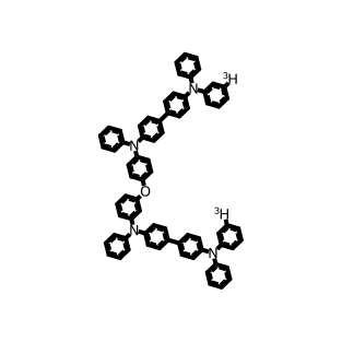 [3H]c1cccc(N(c2ccccc2)c2ccc(-c3ccc(N(c4ccccc4)c4ccc(Oc5cccc(N(c6ccccc6)c6ccc(-c7ccc(N(c8ccccc8)c8cccc([3H])c8)cc7)cc6)c5)cc4)cc3)cc2)c1